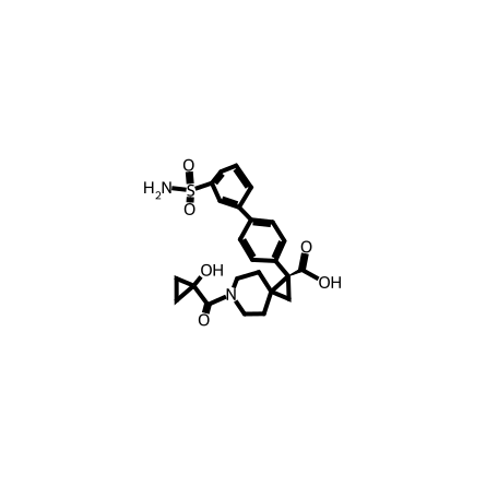 NS(=O)(=O)c1cccc(-c2ccc([C@]3(C(=O)O)CC34CCN(C(=O)C3(O)CC3)CC4)cc2)c1